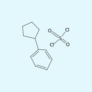 O=S(=O)(Cl)Cl.c1ccc(C2CCCC2)cc1